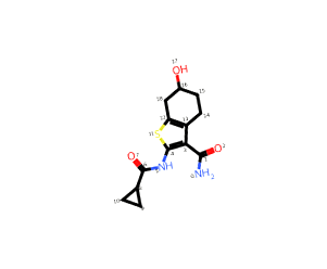 NC(=O)c1c(NC(=O)C2CC2)sc2c1CCC(O)C2